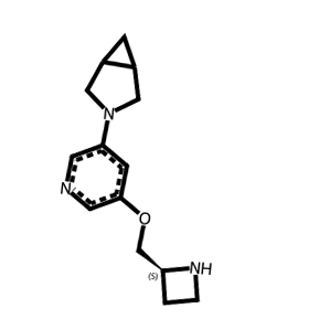 c1ncc(N2CC3CC3C2)cc1OC[C@@H]1CCN1